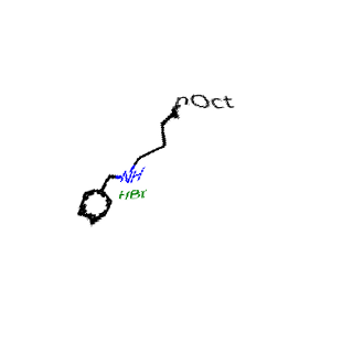 Br.CCCCCCCCCCCCNCc1ccccc1